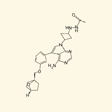 CC(=O)NNC1CC(n2cc(-c3cccc(OC[C@]45CC[C@H](CC4)O5)c3)c3c(N)ncnc32)C1